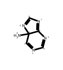 NC12C=NC=NC1=NC=N2